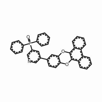 O=P(c1ccccc1)(c1ccccc1)c1cncc(-c2ccc3c(c2)Oc2c(c4ccccc4c4ccccc24)O3)c1